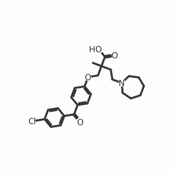 CC(CCN1CCCCCC1)(COc1ccc(C(=O)c2ccc(Cl)cc2)cc1)C(=O)O